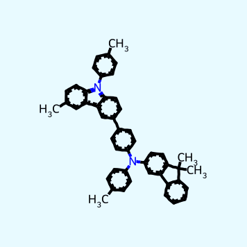 Cc1ccc(N(c2ccc(-c3ccc4c(c3)c3cc(C)ccc3n4-c3ccc(C)cc3)cc2)c2ccc3c(c2)-c2ccccc2C3(C)C)cc1